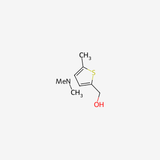 CNC.Cc1ccc(CO)s1